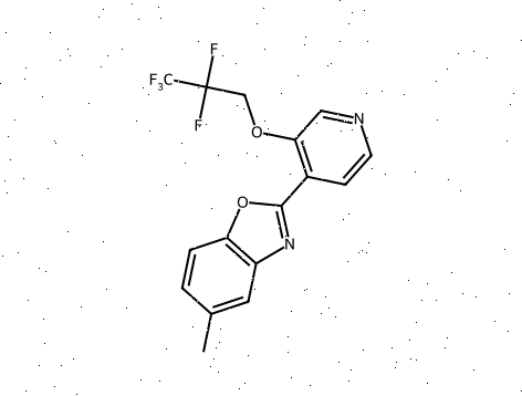 Cc1ccc2oc(-c3ccncc3OCC(F)(F)C(F)(F)F)nc2c1